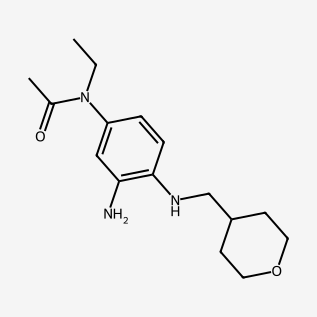 CCN(C(C)=O)c1ccc(NCC2CCOCC2)c(N)c1